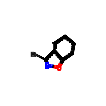 CCc1noc2ccc[c]c12